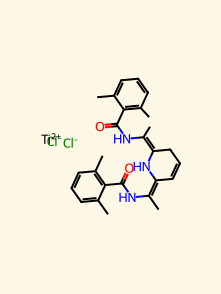 CC(NC(=O)c1c(C)cccc1C)=C1C=CCC(=C(C)NC(=O)c2c(C)cccc2C)N1.[Cl-].[Cl-].[Ti+2]